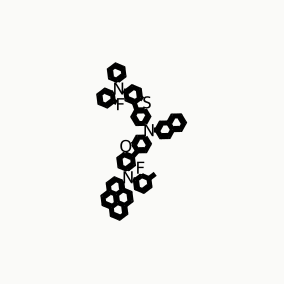 CC1C=CC=C(N(c2ccc3oc4cc(N(c5ccc6ccccc6c5)c5ccc6c(c5)sc5ccc(N(c7ccccc7)c7ccccc7F)cc56)ccc4c3c2)c2ccc3ccc4cccc5ccc2c3c45)C1F